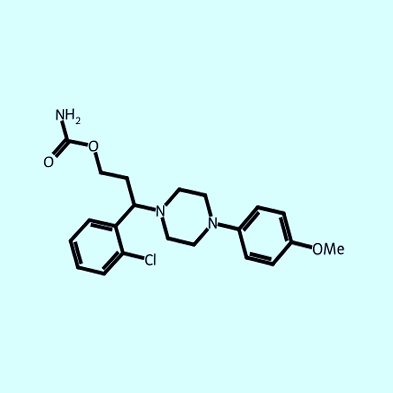 COc1ccc(N2CCN(C(CCOC(N)=O)c3ccccc3Cl)CC2)cc1